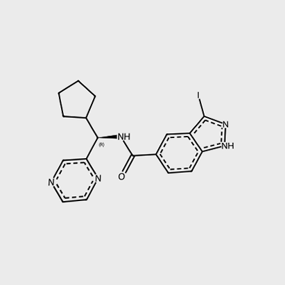 O=C(N[C@@H](c1cnccn1)C1CCCC1)c1ccc2[nH]nc(I)c2c1